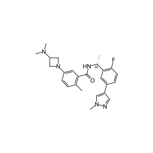 Cc1ccc(N2CC(N(C)C)C2)cc1C(=O)N[C@H](C)c1cc(-c2cnn(C)c2)ccc1F